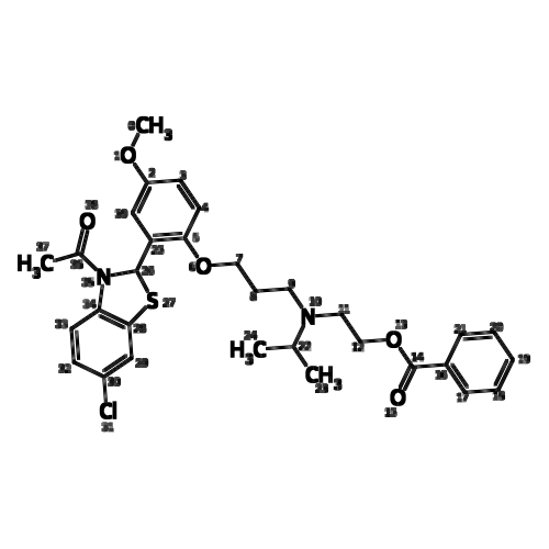 COc1ccc(OCCCN(CCOC(=O)c2ccccc2)C(C)C)c(C2Sc3cc(Cl)ccc3N2C(C)=O)c1